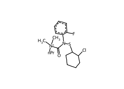 CCC[N+](C)(C)C(=O)N(SC1CCCCC1Cl)c1ccccc1F